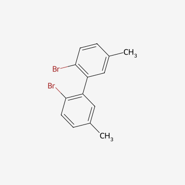 Cc1ccc(Br)c(-c2cc(C)ccc2Br)c1